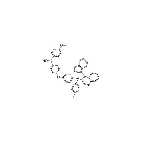 COc1ccc(C(O)c2ccc(Oc3ccc(C4(c5ccc(C)cc5)c5ccc6ccccc6c5-c5c4ccc4ccccc54)cc3)cc2)cc1